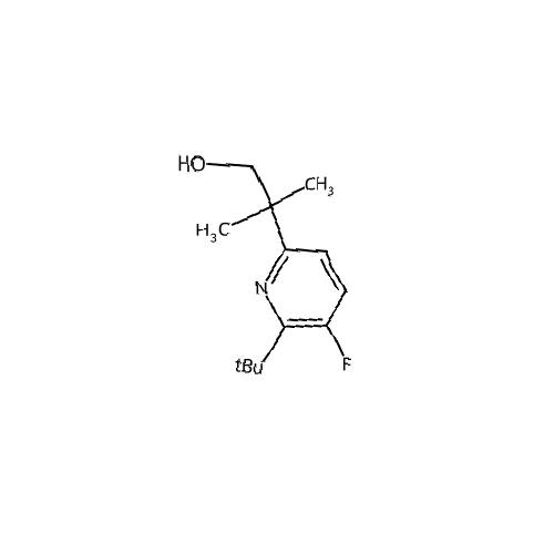 CC(C)(C)c1nc(C(C)(C)CO)ccc1F